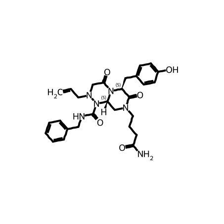 C=CCN1CC(=O)N2[C@@H](Cc3ccc(O)cc3)C(=O)N(CCCC(N)=O)C[C@@H]2N1C(=O)NCc1ccccc1